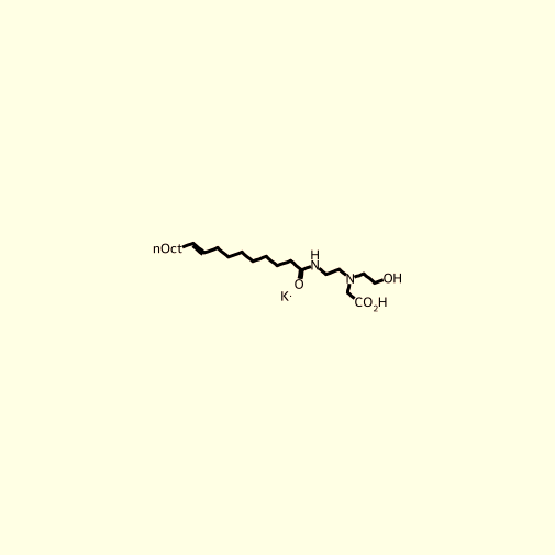 CCCCCCCCC=CCCCCCCCC(=O)NCCN(CCO)CC(=O)O.[K]